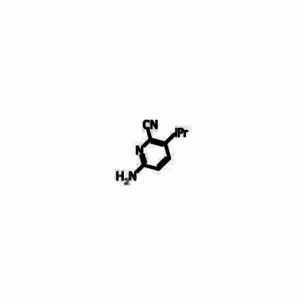 CC(C)c1ccc(N)nc1C#N